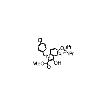 COC(=O)c1c(O)c2cc(O[Si](C(C)C)(C(C)C)C(C)C)ccc2n1Cc1ccc(Cl)cc1